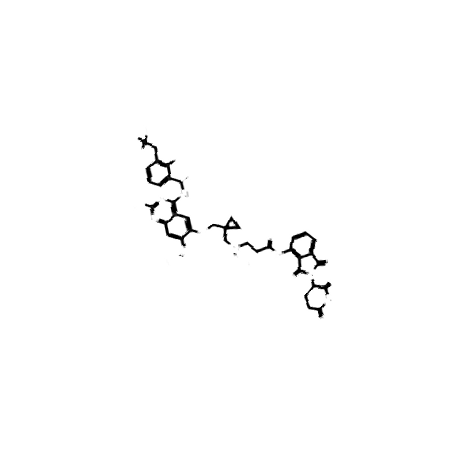 COc1cc2nc(C)nc(N[C@H](C)c3cccc(CC(F)(F)F)c3F)c2cc1OCC1(CN(C)CCC(=O)Nc2cccc3c2C(=O)N(C2CCC(=O)NC2=O)C3=O)CC1